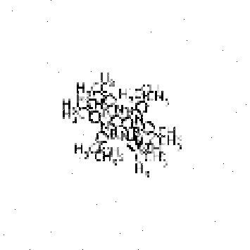 CC(C)(C)c1ccc2c(c1)B1c3cc(C(C)(C)C)ccc3N3c4ccc(C(C)(C)C)cc4B4CN5c6ccc(C(C)(C)C)cc6B6c7cc(C(C)(C)C)ccc7N7c8ccc(C(C)(C)C)cc8B8CN2c2c1c3c4c1c5c6c7c8c21